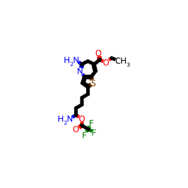 CCOC(=O)C1=Cc2sc(CCCCC(N)OC(=O)C(F)(F)F)cc2N=C(N)C1